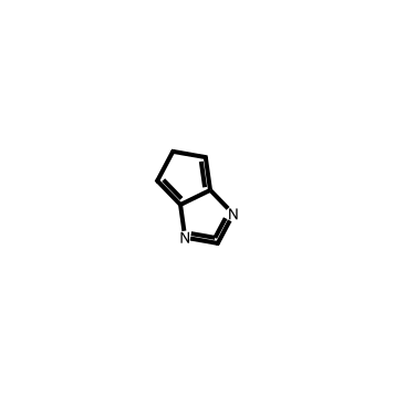 C1=NC2=CCC=C2N=1